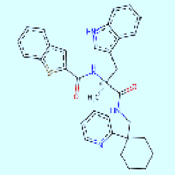 C[C@@](Cc1c[nH]c2ccccc12)(NC(=O)c1cc2ccccc2s1)C(=O)NCC1(c2ccccn2)CCCCC1